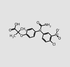 CC(C)(Oc1ccc(N(C(N)=O)c2ccc(Cl)c([N+](=O)[O-])c2)cc1)C(=O)O